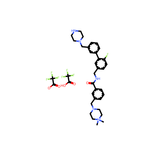 C[N+]1(C)CCN(Cc2cccc(C(=O)NCc3ccc(F)c(-c4cccc(CN5CCNCC5)c4)c3)c2)CC1.O=C(O)C(F)(F)F.O=C([O-])C(F)(F)F